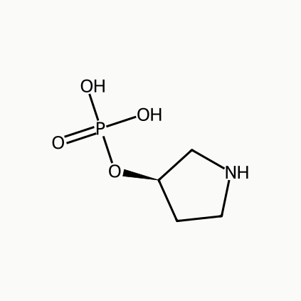 O=P(O)(O)O[C@@H]1CCNC1